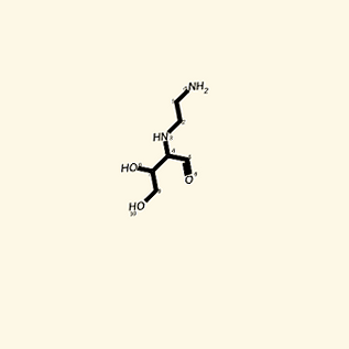 NCCNC(C=O)C(O)CO